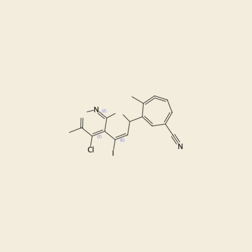 C=C(C)/C(Cl)=C(C(\C)=N/C)/C(I)=C\C(C)C1=CC(C#N)=CC=C=C1C